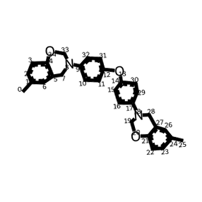 Cc1ccc2c(c1)CN(c1ccc(Oc3ccc(N4COc5ccc(C)cc5C4)cc3)cc1)CO2